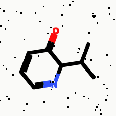 CC(C)C1N=CC=CC1=O